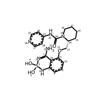 NC1=NS(O)(O)Nc2cccc(OC[C@H]3CCCCN3C(=O)Nc3ccncc3)c21